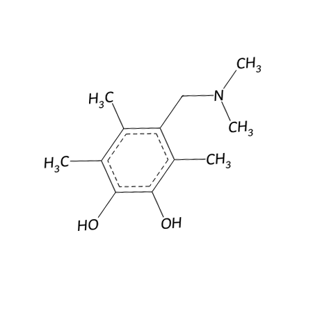 Cc1c(C)c(CN(C)C)c(C)c(O)c1O